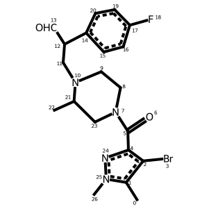 Cc1c(Br)c(C(=O)N2CCN(CC(C=O)c3ccc(F)cc3)C(C)C2)nn1C